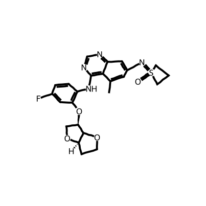 Cc1cc(N=S2(=O)CCC2)cc2ncnc(Nc3ccc(F)cc3O[C@@H]3CO[C@@H]4CCOC43)c12